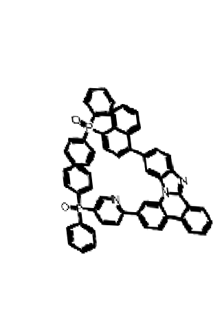 O=P(c1ccccc1)(c1ccccc1)c1ccc(-c2ccc3c4ccccc4c4nc5ccc(-c6ccc(P(=O)(c7ccccc7)c7ccccc7)c7ccccc67)cc5n4c3c2)nc1